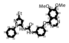 CCc1cc(NC(=O)Nc2cccc(Oc3ncnc4cc(OC)c(OC)cc34)c2)n(-c2ccccc2)n1